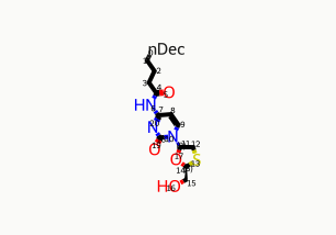 CCCCCCCCCCCCCC(=O)Nc1ccn([C@H]2CS[C@@H](CO)O2)c(=O)n1